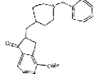 COc1cccc2c1CC(CC1CCN(Cc3ccccc3)CC1)C2=O